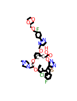 C#C/C1=C(Cl)\C(C)=C(/CC)c2c(-c3ccc(F)cc3)sc3ncnc(c23)OC(C(=O)O)Cc2cc(ccc2OCc2ccnc(C3=CC[C@](F)(COC[C@@H]4COCCO4)CC3)n2)OCC(CN2CCN(C)CC2)O1